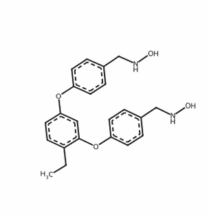 CCc1ccc(Oc2ccc(CNO)cc2)cc1Oc1ccc(CNO)cc1